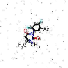 CC(=O)c1cc(-n2c(=O)cc(C(F)(F)F)n(C)c2=O)c(F)cc1F